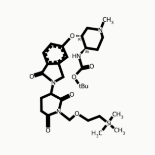 CN1CC[C@@H](NC(=O)OC(C)(C)C)[C@H](Oc2ccc3c(c2)CN(C2CCC(=O)N(COCC[Si](C)(C)C)C2=O)C3=O)C1